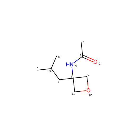 CC(=O)NC1(CC(C)C)COC1